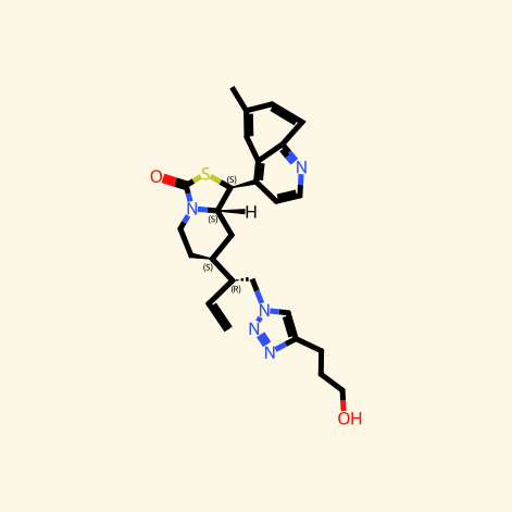 C=C[C@@H](Cn1cc(CCCO)nn1)[C@H]1CCN2C(=O)S[C@@H](c3ccnc4ccc(C)cc34)[C@@H]2C1